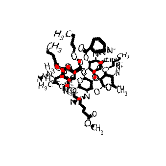 CCCCOC[C@@H](O[C@H]1OC(C)[C@@H](N=[N+]=[N-])C(O[C@H]2OC(C)[C@@H](N=[N+]=[N-])C(OCCCC)[C@H]2O[C@H]2OC(C)[C@@H](N=[N+]=[N-])C(OC(=O)c3ccccc3)[C@H]2OC(=O)c2ccccc2)[C@H]1OCCCC)[C@H](OC(C)[C@H](C)N=[N+]=[N-])O[C@@H]1C(OCCCC)[C@H](N=[N+]=[N-])C(C)O[C@@H]1OCCCCCC(=O)OC